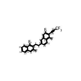 Fc1cc2cc(CCc3c(F)cc4ccccc4c3F)ccc2c(F)c1C#CC(F)(F)F